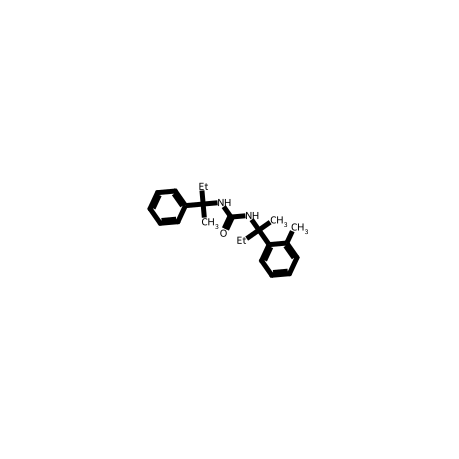 CCC(C)(NC(=O)NC(C)(CC)c1ccccc1C)c1ccccc1